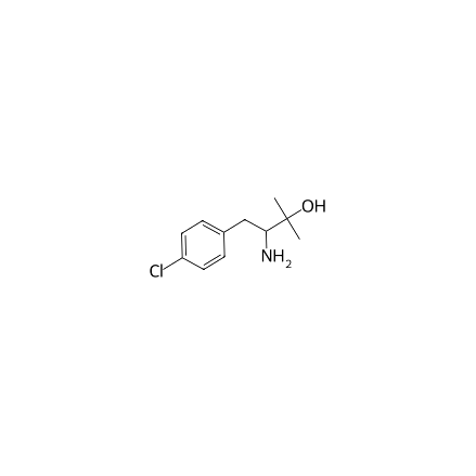 CC(C)(O)C(N)Cc1ccc(Cl)cc1